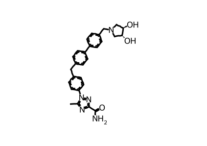 Cc1nc(C(N)=O)nn1-c1ccc(Cc2ccc(-c3ccc(CN4C[C@@H](O)[C@H](O)C4)cc3)cc2)cc1